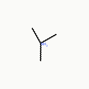 CCCCCCCCCCCCCCCCC(N)(CCCCCCCCCCCCCCCC)CCCCCCCCCCCCCCCC